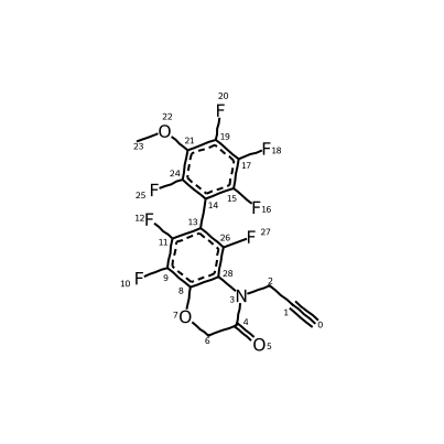 C#CCN1C(=O)COc2c(F)c(F)c(-c3c(F)c(F)c(F)c(OC)c3F)c(F)c21